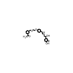 NC(=O)c1cccc(COCCOc2ccc(CCNC[C@@H](O)c3ccc(O)c(F)c3)cc2)c1